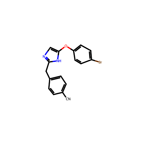 N#Cc1ccc(Cc2ncc(Oc3ccc(Br)cc3)[nH]2)cc1